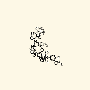 Cc1cc(NC(=O)c2c3c(cn2C)S(=O)(=O)N[C@@H]2CN(C(=O)C(=O)N[C@H](C)C(F)(F)F)C[C@]2(C)CO3)ccc1F